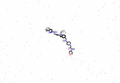 CC(C)(C#N)c1ccc(NCC#Cc2cc3cc(CNC4CCN(CC(=O)NC5CCOCC5)CC4)ccc3n2CC(F)(F)F)cn1